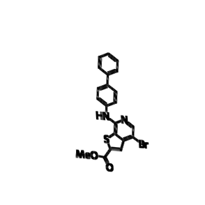 COC(=O)c1cc2c(Br)cnc(Nc3ccc(-c4ccccc4)cc3)c2s1